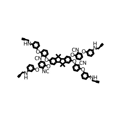 [C-]#[N+]c1c(Oc2cccc(NCC#C)c2)cccc1Oc1cc2c(cc1Oc1cccc(Oc3cccc(NCC#C)c3)c1[N+]#[C-])C(C)(C)C1c3cc(Oc4cccc(Oc5cccc(NCC#C)c5)c4C#N)c(Oc4cccc(Oc5cccc(NCC#C)c5)c4C#N)cc3C(C)(C)C21